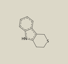 c1ccc2c3c([nH]c2c1)CCSC3